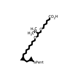 CCCCCC1CC1CC1CC1CCCCCCCCOCC(COCCCCCC(=O)O)N(C)C